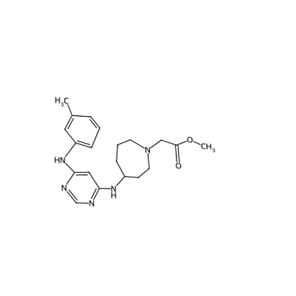 COC(=O)CN1CCCC(Nc2cc(Nc3cccc(C)c3)ncn2)CC1